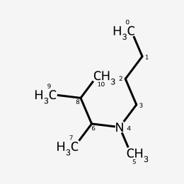 CCCCN(C)C(C)C(C)C